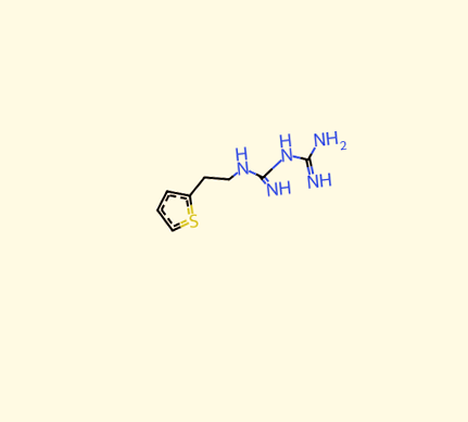 N=C(N)NC(=N)NCCc1cccs1